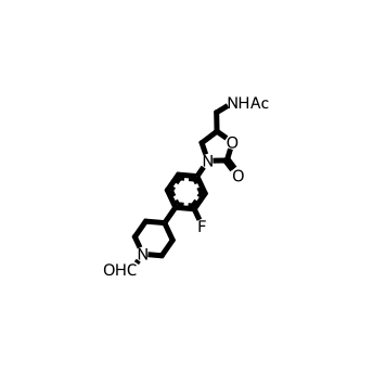 CC(=O)NCC1CN(c2ccc(C3CCN(C=O)CC3)c(F)c2)C(=O)O1